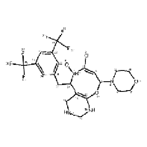 [O-][NH+]1/C(Cl)=C\C(N2CCOCC2)OC2=C(CNCN2)C1Cc1cc(C(F)(F)F)cc(C(F)(F)F)c1